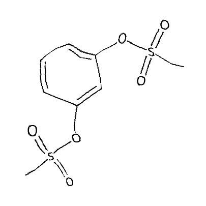 CS(=O)(=O)Oc1cccc(OS(C)(=O)=O)c1